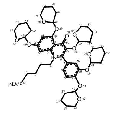 CCCCCCCCCCCCCCn1c(-c2ccc(OC3CCCCO3)c(OC3CCCCO3)c2)c(OC2CCCCO2)c(=O)c2c(OC3CCCCO3)cc(OC3CCCCO3)cc21